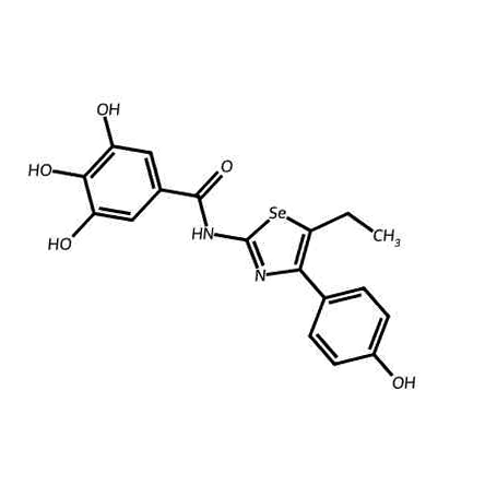 CCc1[se]c(NC(=O)c2cc(O)c(O)c(O)c2)nc1-c1ccc(O)cc1